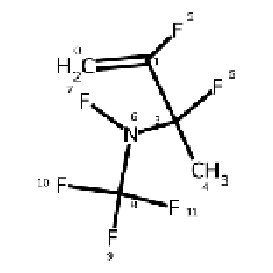 C=C(F)C(C)(F)N(F)C(F)(F)F